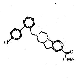 COC(=O)c1cc2c(cn1)N1CCN(Cc3ccccc3-c3ccc(Cl)cc3)CC1C2